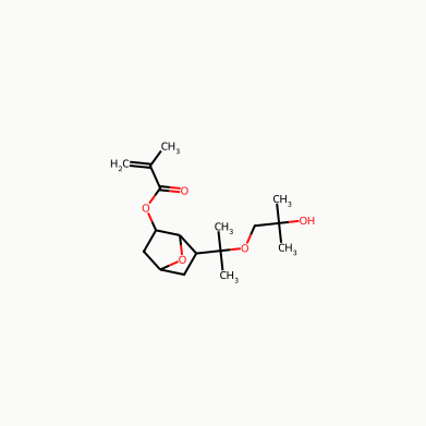 C=C(C)C(=O)OC1CC2CC(C(C)(C)OCC(C)(C)O)C1O2